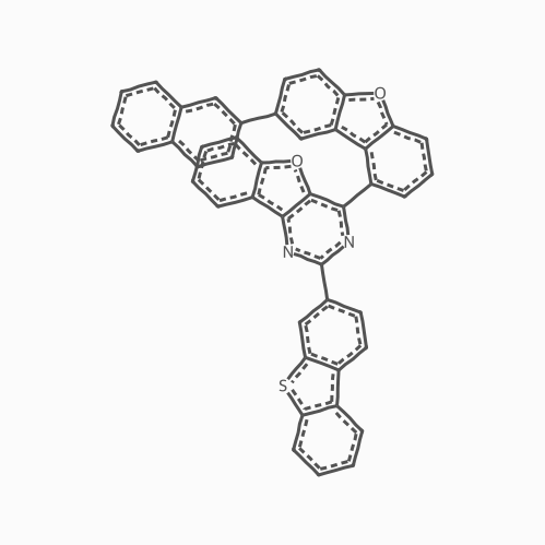 c1ccc2cc(-c3ccc4oc5cccc(-c6nc(-c7ccc8c(c7)sc7ccccc78)nc7c6oc6ccccc67)c5c4c3)ccc2c1